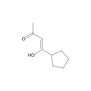 CC(=O)/C=C(\O)C1CCCC1